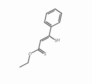 CCOC(=S)C=C(S)c1ccccc1